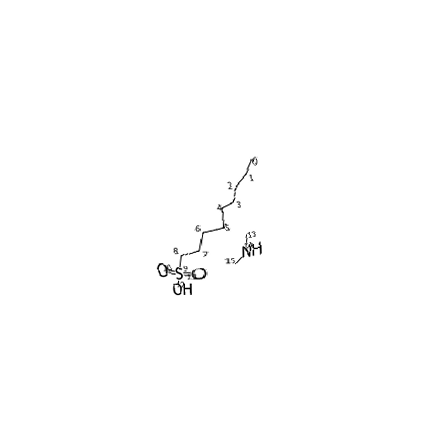 CCCCCCCCCS(=O)(=O)O.CNC